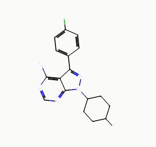 CC1CCC(n2nc(-c3ccc(Cl)cc3)c3c(N)ncnc32)CC1